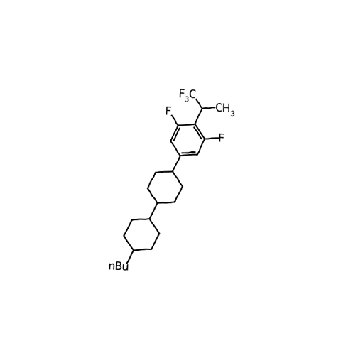 CCCCC1CCC(C2CCC(c3cc(F)c(C(C)C(F)(F)F)c(F)c3)CC2)CC1